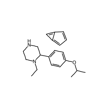 CCN1CCNCC1c1ccc(OC(C)C)cc1.c1cc2cc-2c1